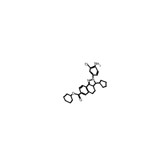 Nc1ccc(N2N=C3c4ccc(C(=O)OC5CCCCC5)cc4CCC3C2C2CCCC2)cc1Cl